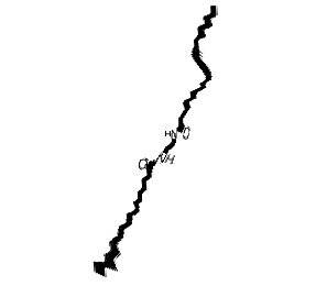 CCCCCCCCC=CCCCCCCCC(=O)NCCNC(=O)CCCCCCCC=CCCCCCCCC